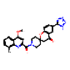 CCOc1cc(C(=O)N2CCC3(CC2)CC(=O)c2cc(-c4nnn[nH]4)ccc2O3)nc2c(CC)cccc12